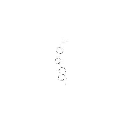 Nc1ncc2cc(-c3ncn(-c4ccc(OC(F)(F)F)cc4)n3)ccc2n1